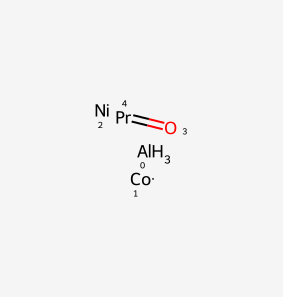 [AlH3].[Co].[Ni].[O]=[Pr]